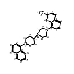 Cc1ccc2cccc(N3CCN(C4CCN(c5cccc6cccnc56)CC4)CC3)c2n1